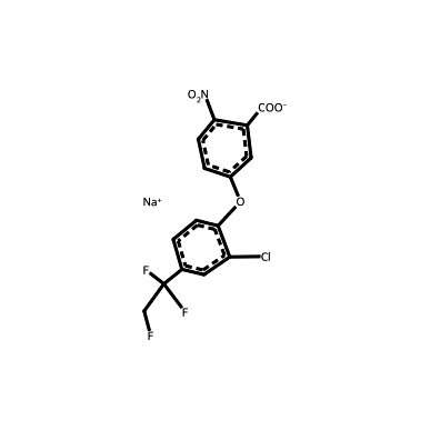 O=C([O-])c1cc(Oc2ccc(C(F)(F)CF)cc2Cl)ccc1[N+](=O)[O-].[Na+]